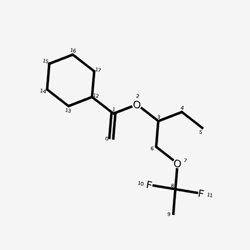 C=C(OC(CC)COC(C)(F)F)C1CCCCC1